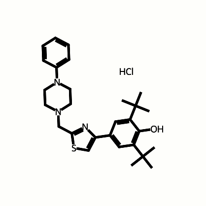 CC(C)(C)c1cc(-c2csc(CN3CCN(c4ccccc4)CC3)n2)cc(C(C)(C)C)c1O.Cl